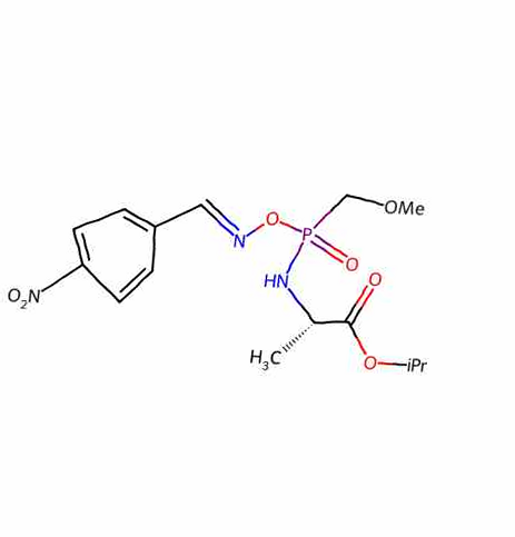 COCP(=O)(N[C@@H](C)C(=O)OC(C)C)O/N=C/c1ccc([N+](=O)[O-])cc1